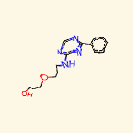 OCCOCCNc1ncnc(-c2ccccc2)n1